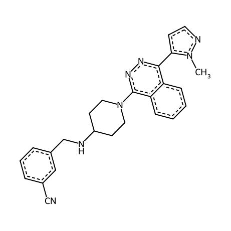 Cn1nccc1-c1nnc(N2CCC(NCc3cccc(C#N)c3)CC2)c2ccccc12